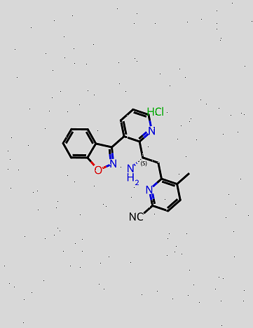 Cc1ccc(C#N)nc1C[C@H](N)c1ncccc1-c1noc2ccccc12.Cl